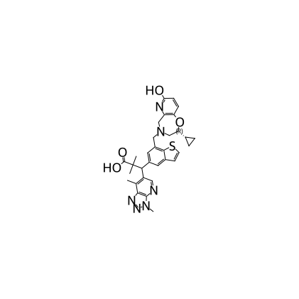 Cc1c(C(c2cc(CN3Cc4nc(O)ccc4O[C@H](C4CC4)C3)c3sccc3c2)C(C)(C)C(=O)O)cnc2c1nnn2C